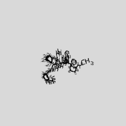 CCCC1CCCCN1C(=O)c1cc(C(=O)N[C@@H](Cc2ccccc2)[C@H](O)CNCc2ccc(F)c(C(F)(F)F)c2)nn1CC